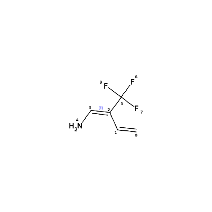 C=C/C(=C\N)C(F)(F)F